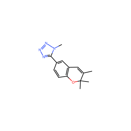 CC1=Cc2cc(-c3nnnn3C)ccc2OC1(C)C